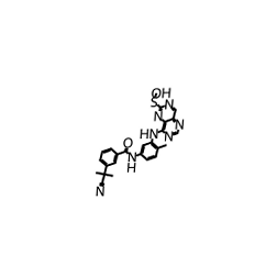 Cc1ccc(NC(=O)c2cccc(C(C)(C)C#N)c2)cc1Nc1ncnc2cnc(SO)nc12